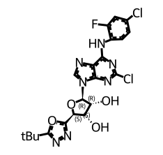 CC(C)(C)c1nnc([C@H]2O[C@@H](n3cnc4c(Nc5ccc(Cl)cc5F)nc(Cl)nc43)[C@H](O)[C@@H]2O)o1